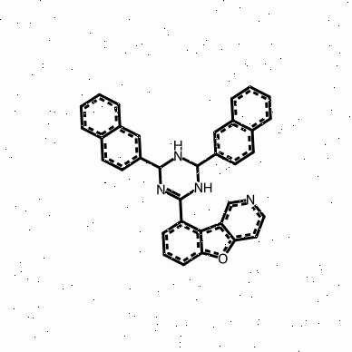 c1ccc2cc(C3N=C(c4cccc5oc6ccncc6c45)NC(c4ccc5ccccc5c4)N3)ccc2c1